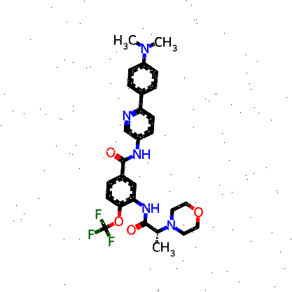 C[C@H](C(=O)Nc1cc(C(=O)Nc2ccc(-c3ccc(N(C)C)cc3)nc2)ccc1OC(F)(F)F)N1CCOCC1